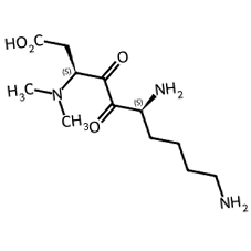 CN(C)[C@@H](CC(=O)O)C(=O)C(=O)[C@@H](N)CCCCN